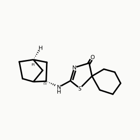 O=C1N=C(N[C@H]2C[C@@H]3CCC2C3)SC12CCCCC2